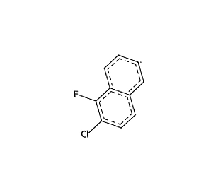 Fc1c(Cl)ccc2c[c]ccc12